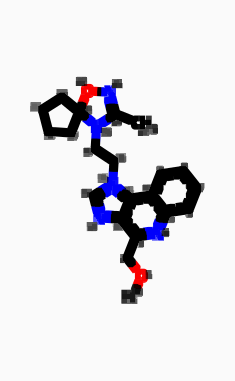 CCOCc1nc2ccccc2c2c1ncn2CCN1C(C)=NOC12CCCC2